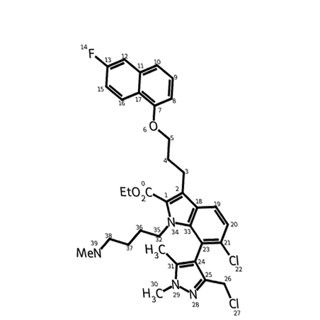 CCOC(=O)c1c(CCCOc2cccc3cc(F)ccc23)c2ccc(Cl)c(-c3c(CCl)nn(C)c3C)c2n1CCCCNC